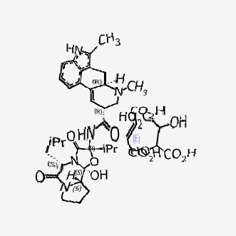 Cc1[nH]c2cccc3c2c1C[C@@H]1C3=C[C@@H](C(=O)N[C@]2(C(C)C)O[C@@]3(O)[C@@H]4CCCN4C(=O)[C@H](CC(C)C)N3C2=O)CN1C.O=C(O)/C=C/C(=O)O.O=C(O)C(O)C(O)C(=O)O